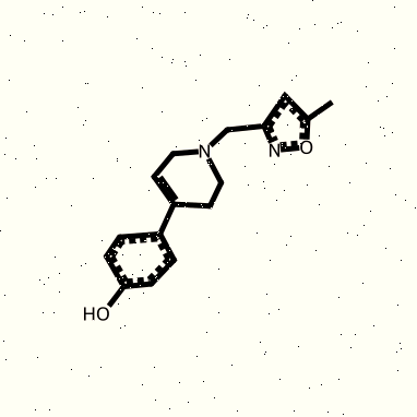 Cc1cc(CN2CC=C(c3ccc(O)cc3)CC2)no1